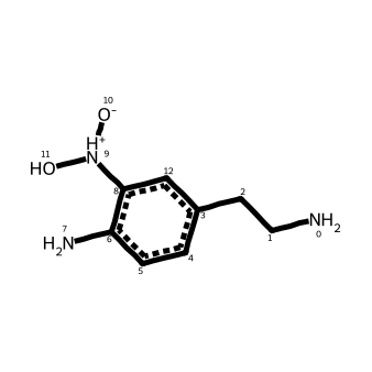 NCCc1ccc(N)c([NH+]([O-])O)c1